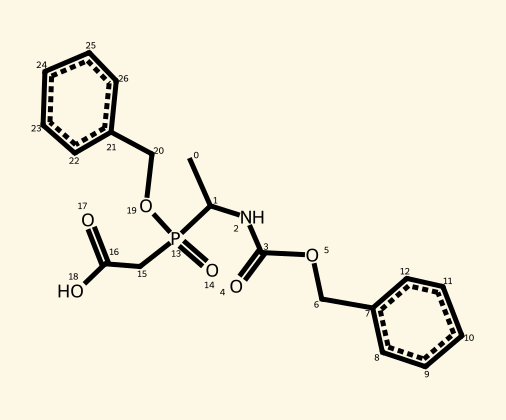 CC(NC(=O)OCc1ccccc1)P(=O)(CC(=O)O)OCc1ccccc1